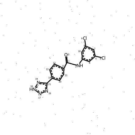 O=C(Nc1cc(Cl)cc(Cl)c1)c1ccc(-c2nn[nH]n2)cc1